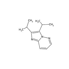 CC(C)c1nc2cccnn2c1C(C)C